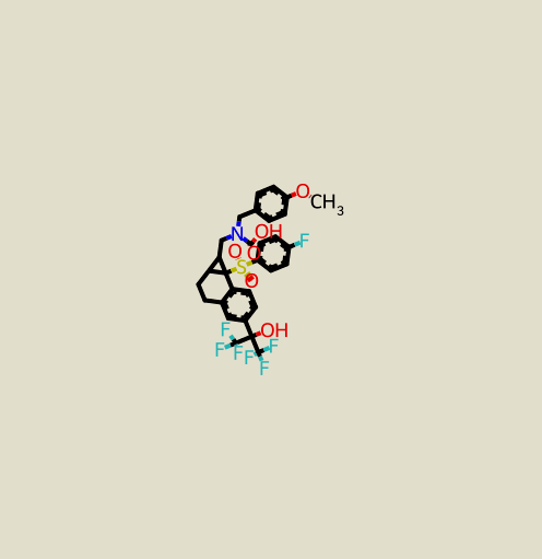 COc1ccc(CN(CC2C3CCc4cc(C(O)(C(F)(F)F)C(F)(F)F)ccc4C32S(=O)(=O)c2ccc(F)cc2)C(=O)O)cc1